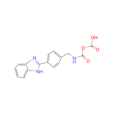 O=C(O)OC(=O)NCc1ccc(-c2nc3ccccc3[nH]2)cc1